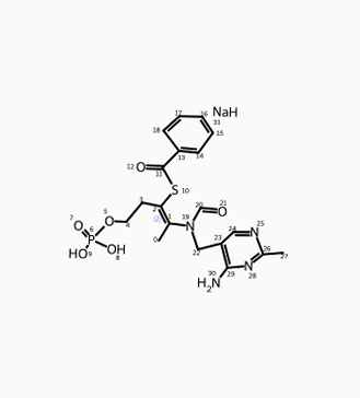 C/C(=C(\CCOP(=O)(O)O)SC(=O)c1ccccc1)N(C=O)Cc1cnc(C)nc1N.[NaH]